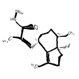 CCCCNC(=O)C(C)=C[C@@H]1CC[C@@H](C)[C@H]2CCC(C)=C12